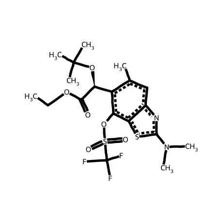 CCOC(=O)[C@@H](OC(C)(C)C)c1c(C)cc2nc(N(C)C)sc2c1OS(=O)(=O)C(F)(F)F